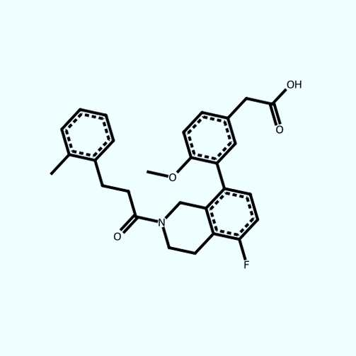 COc1ccc(CC(=O)O)cc1-c1ccc(F)c2c1CN(C(=O)CCc1ccccc1C)CC2